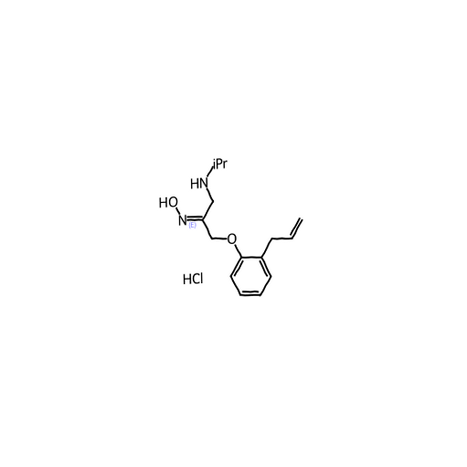 C=CCc1ccccc1OC/C(CNC(C)C)=N/O.Cl